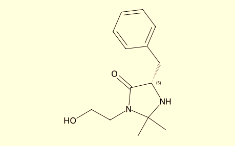 CC1(C)N[C@@H](Cc2ccccc2)C(=O)N1CCO